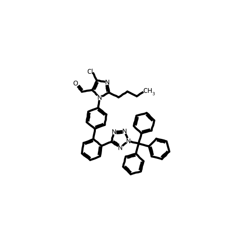 CCCCc1nc(Cl)c(C=O)n1-c1ccc(-c2ccccc2-c2nnn(C(c3ccccc3)(c3ccccc3)c3ccccc3)n2)cc1